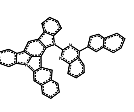 c1ccc2cc(-c3nc(-n4c5ccccc5c5cc6c7ccccc7n7c8cc9ccccc9cc8c(c54)c67)nc4ccccc34)ccc2c1